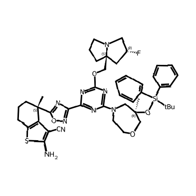 CC(C)(C)[Si](O[C@@]1(C)COCCN(c2nc(OC[C@@]34CCCN3C[C@H](F)C4)nc(-c3noc([C@@]4(C)CCCc5sc(N)c(C#N)c54)n3)n2)C1)(c1ccccc1)c1ccccc1